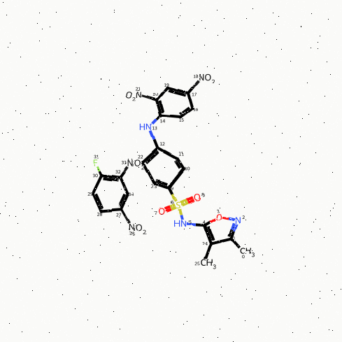 Cc1noc(NS(=O)(=O)c2ccc(Nc3ccc([N+](=O)[O-])cc3[N+](=O)[O-])cc2)c1C.O=[N+]([O-])c1ccc(F)c([N+](=O)[O-])c1